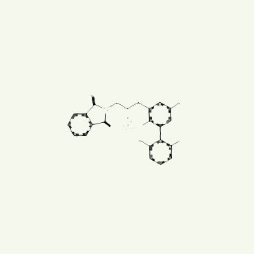 COc1c(C[C@H](O)CN2C(=O)c3ccccc3C2=O)cc(F)cc1-c1c(Cl)cccc1Cl